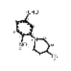 N#CC1CCN(c2cc(C=O)ccc2[N+](=O)[O-])CC1